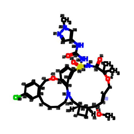 CO[C@H]1/C=C/COC(C)(C)C(=O)N=[S@@](=O)(NC(=O)Nc2cnn(C)c2)c2ccc3c(c2)N(CCCCc2cc(Cl)ccc2CO3)C[C@@H]2CC[C@H]21